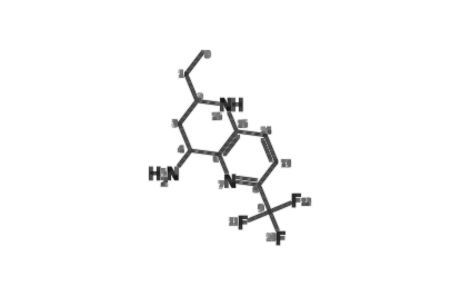 CCC1CC(N)c2nc(C(F)(F)F)ccc2N1